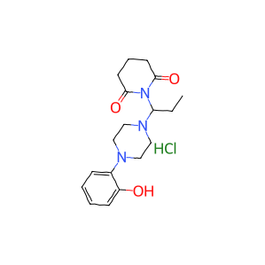 CCC(N1CCN(c2ccccc2O)CC1)N1C(=O)CCCC1=O.Cl